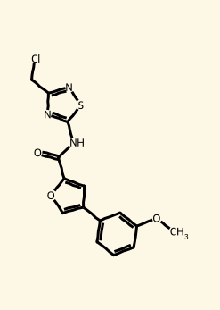 COc1cccc(-c2coc(C(=O)Nc3nc(CCl)ns3)c2)c1